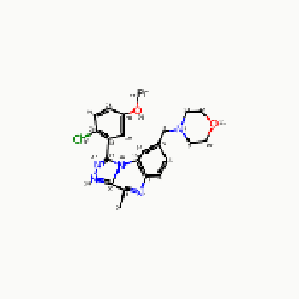 Cc1nc2ccc(CN3CCOCC3)cc2n2c(-c3cc(OC(C)C)ccc3Cl)nnc12